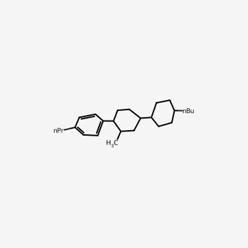 CCCCC1CCC(C2CCC(c3ccc(CCC)cc3)C(C)C2)CC1